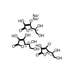 O=C1O[C@@H]([C@H](O)CO)C(O)=C1O.O=C1O[C@H]([C@@H](O)CO)C([O-])=C1O.O=C1O[C@H]([C@@H](O)CO)C([O-])=C1O.[Na+].[Na+]